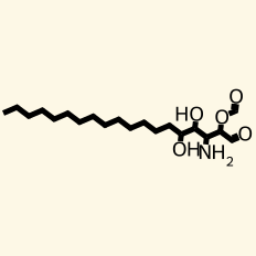 CCCCCCCCCCCCCCC(O)C(O)C(N)C(C=O)OC=O